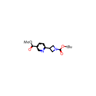 COC(=O)c1ccc(C2CN(C(=O)OC(C)(C)C)C2)nc1